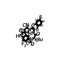 CC(C)(C)[C@H](NC(=O)C(F)(F)F)C(=O)N[C@@H](Cc1ccc(F)cc1)C(=O)N1C[C@]2(C[C@H]1C#N)C(=O)Nc1ccccc12